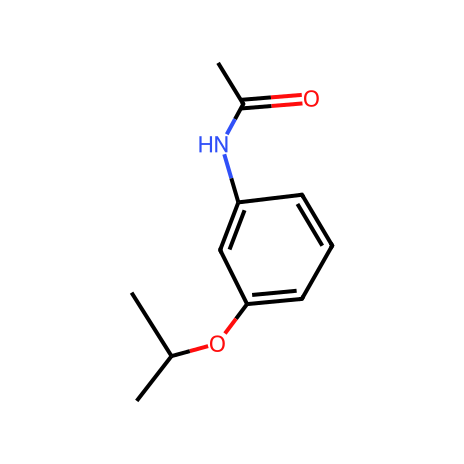 CC(=O)Nc1cccc(OC(C)C)c1